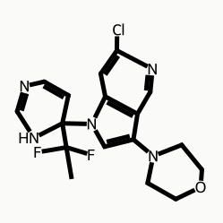 CC(F)(F)C1(n2cc(N3CCOCC3)c3cnc(Cl)cc32)C=CN=CN1